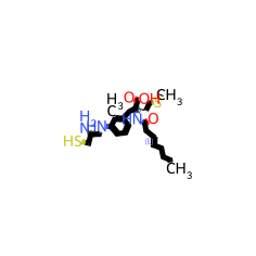 CCCC/C=C/CC(=O)N[C@@](CCSC)(Cc1cccc(NC[C@@H](N)CS)c1C)C(=O)O